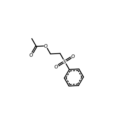 CC(=O)OCCS(=O)(=O)c1ccccc1